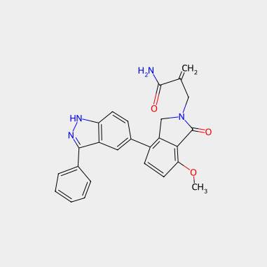 C=C(CN1Cc2c(-c3ccc4[nH]nc(-c5ccccc5)c4c3)ccc(OC)c2C1=O)C(N)=O